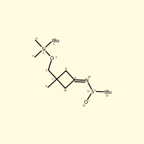 CC1(CO[Si](C)(C)C(C)(C)C)CC(=N[S+]([O-])C(C)(C)C)C1